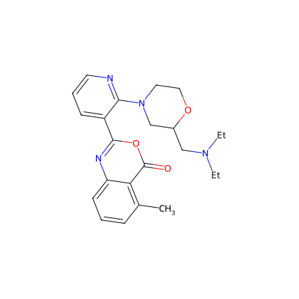 CCN(CC)CC1CN(c2ncccc2-c2nc3cccc(C)c3c(=O)o2)CCO1